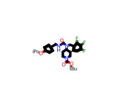 CC(C)Oc1ccc(CNC(=O)N(Cc2ccc(F)c(F)c2F)C2CCN(C(=O)OC(C)(C)C)CC2)cc1